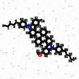 CCCCCc1ccc(-n2c3ccc(C)cc3c3c(-c4ccccc4-c4ccccc4-c4cccc5c4c4cc(OC)ccc4n5-c4ccc(CCCCC)cc4)cccc32)cc1